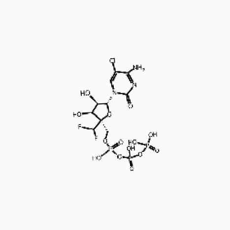 Nc1nc(=O)n([C@@H]2O[C@@](COP(=O)(O)OP(=O)(O)OP(=O)(O)O)(C(F)F)[C@@H](O)[C@H]2O)cc1Cl